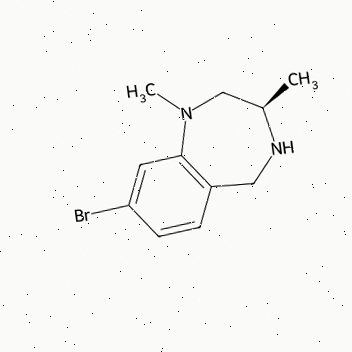 C[C@@H]1CN(C)c2cc(Br)ccc2CN1